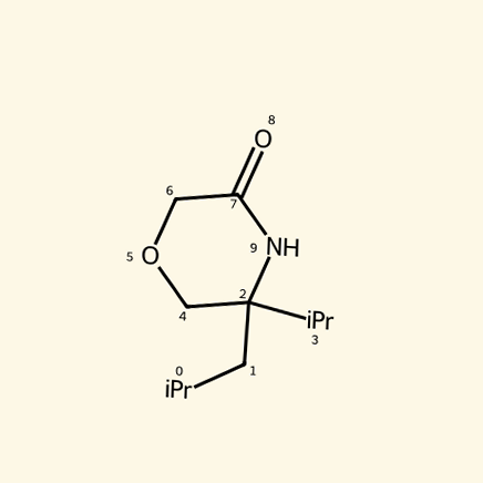 CC(C)CC1(C(C)C)COCC(=O)N1